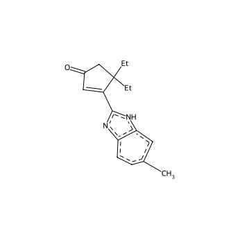 CCC1(CC)CC(=O)C=C1c1nc2ccc(C)cc2[nH]1